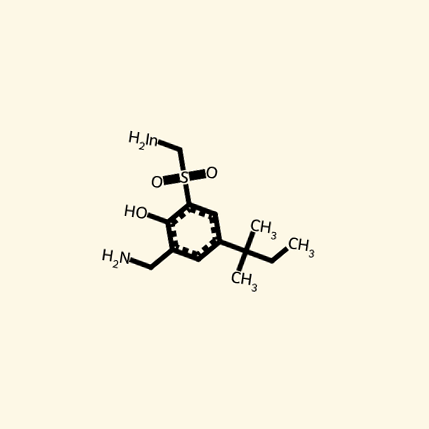 CCC(C)(C)c1cc(CN)c(O)c(S(=O)(=O)[CH2][InH2])c1